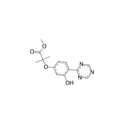 COC(=O)C(C)(C)Oc1ccc(-c2ncncn2)c(O)c1